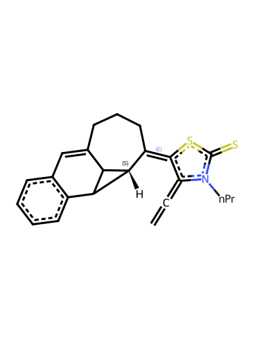 C=C=c1/c(=C2/CCCC3=Cc4ccccc4C4C3[C@H]24)sc(=S)n1CCC